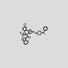 CC(c1ccccc1)N1CCN(CCn2cc(NC(=O)c3cnn4cccnc34)c(-c3cc(Cl)ccc3OC(F)F)n2)CC1